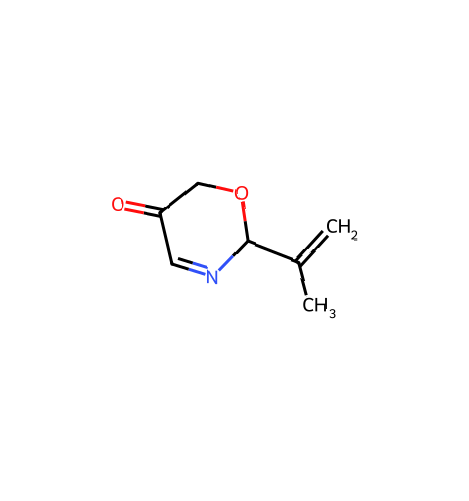 C=C(C)C1N=CC(=O)CO1